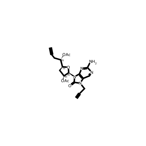 C#CC[C@H](OC(C)=O)[C@@H]1C[C@@H](OC(C)=O)[C@H](n2c(=O)n(CC#C)c3cnc(N)nc32)O1